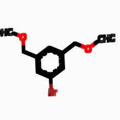 O=COCc1cc(Br)cc(COC=O)c1